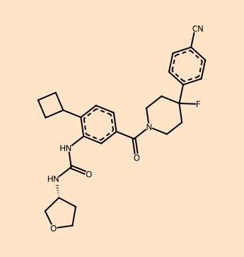 N#Cc1ccc(C2(F)CCN(C(=O)c3ccc(C4CCC4)c(NC(=O)N[C@@H]4CCOC4)c3)CC2)cc1